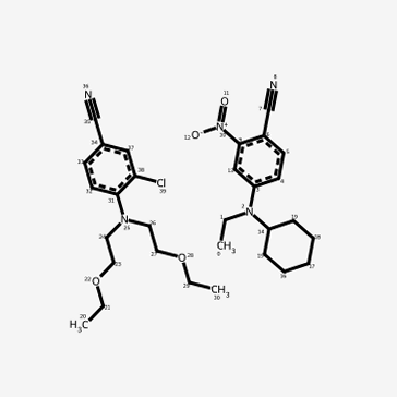 CCN(c1ccc(C#N)c([N+](=O)[O-])c1)C1CCCCC1.CCOCCN(CCOCC)c1ccc(C#N)cc1Cl